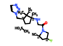 CC1(C)[C@H](Cn2ccnn2)CC[C@]1(C)NCC(=O)N1C[C@@H](F)C[C@H]1C#N.CS(=O)(=O)O